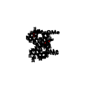 C=CC1CN(C(C)C(Oc2nc(O[C@@H](c3ccnc4ccc(OC)cc34)C(C)N3CCC(C)[C@@H](C=C)C3)cc(O[C@@H](/C(=C/C)c3cc(OC)ccc3N=C)[C@H]3CC4CCN3CCC4C=C)n2)c2ccnc3ccc(OC)cc23)CCC1C